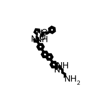 NCCCCc1nc2ccc(-c3ccc4cc(-c5ccc(C6CN=C([C@@H]7CCCN7C(=O)OCc7ccccc7)N6)cc5)ccc4c3)cc2[nH]1